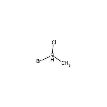 C[SiH](Cl)Br